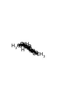 CCOC(=O)CN1CCN(CC2CN(c3ccc(C(=N)NC(=O)OCC)cc3)C(=O)O2)CC1